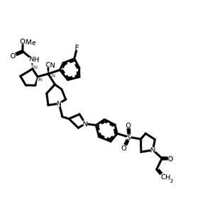 C=CC(=O)N1CCC(S(=O)(=O)c2ccc(N3CC(CN4CCC([C@@](C#N)(c5cccc(F)c5)[C@H]5CCC[C@@H]5NC(=O)OC)CC4)C3)cc2)C1